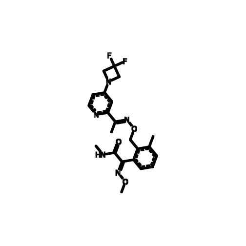 CNC(=O)/C(=N/OC)c1cccc(C)c1CO/N=C(\C)c1cc(N2CC(F)(F)C2)ccn1